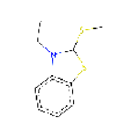 CCN1c2ccccc2SC1SC